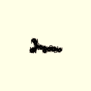 c1ccc(-c2nc3cc4oc5cc(-c6ccc(-c7ccc(-c8nc(-c9cnc%10cccnc%10c9)nc(-c9cnc%10cccnc%10c9)n8)cc7)c7ccccc67)ccc5c4cc3o2)cc1